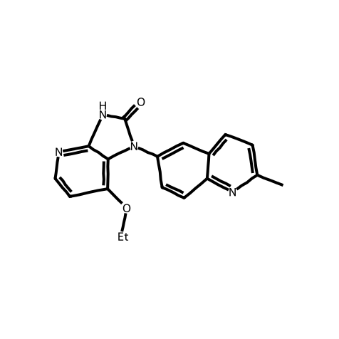 CCOc1ccnc2[nH]c(=O)n(-c3ccc4nc(C)ccc4c3)c12